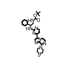 CN1CCN(c2nccn3c(-c4ccnc(NC(CNC(=O)OC(C)(C)C)c5ccccc5)n4)cnc23)CC1